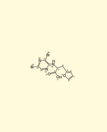 O=C(O)C(Cc1ccco1)Nc1ncc(Br)nc1Br